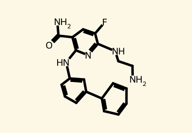 NCCNc1nc(Nc2cccc(-c3ccccc3)c2)c(C(N)=O)cc1F